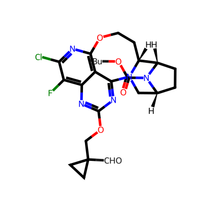 CC(C)(C)OC(=O)N1[C@@H]2CC[C@H]1[C@H]1CCOc3nc(Cl)c(F)c4nc(OCC5(C=O)CC5)nc(c34)N1C2